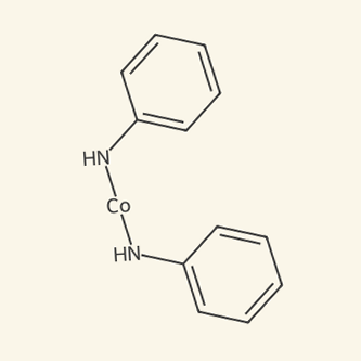 c1ccc([NH][Co][NH]c2ccccc2)cc1